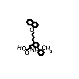 Cc1ccccc1-c1ccc(CCCCOc2cccc3ccccc23)c2cc(C(=O)O)[nH]c12